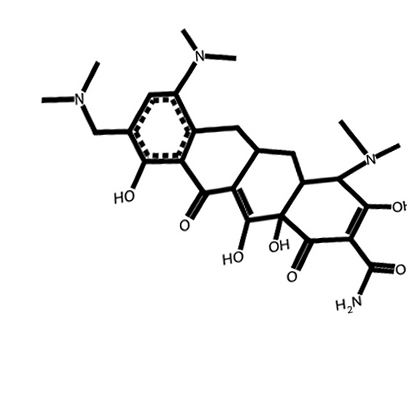 CN(C)Cc1cc(N(C)C)c2c(c1O)C(=O)C1=C(O)C3(O)C(=O)C(C(N)=O)=C(O)C(N(C)C)C3CC1C2